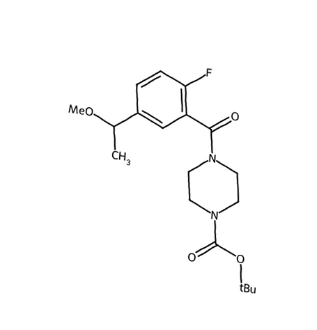 COC(C)c1ccc(F)c(C(=O)N2CCN(C(=O)OC(C)(C)C)CC2)c1